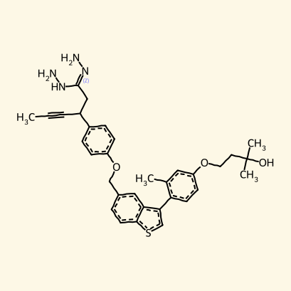 CC#CC(C/C(=N/N)NN)c1ccc(OCc2ccc3scc(-c4ccc(OCCC(C)(C)O)cc4C)c3c2)cc1